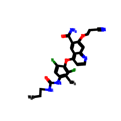 CCCNC(=O)Nc1cc(F)c(Oc2ccnc3cc(OCCC#N)c(C(N)=O)cc23)c(F)c1C